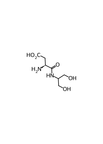 N[C@@H](CC(=O)O)C(=O)NC(CO)CO